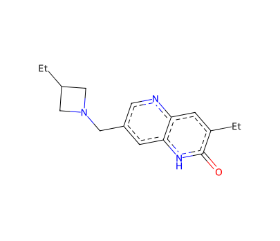 CCc1cc2ncc(CN3CC(CC)C3)cc2[nH]c1=O